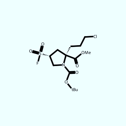 COC(=O)[C@]1(CCCCl)C[C@@H](S(=O)(=O)F)CN1C(=O)OC(C)(C)C